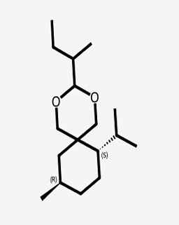 CCC(C)C1OCC2(CO1)C[C@H](C)CC[C@H]2C(C)C